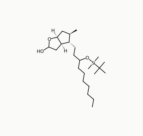 CCCCCCCC(CC[C@@H]1[C@H]2CC(O)O[C@H]2C[C@H]1C)O[Si](C)(C)C(C)(C)C